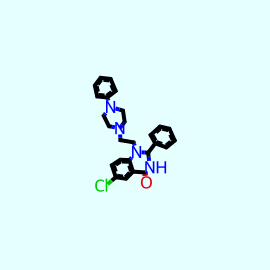 O=C1NC(c2ccccc2)N(CCN2CCN(c3ccccc3)CC2)c2ccc(Cl)cc21